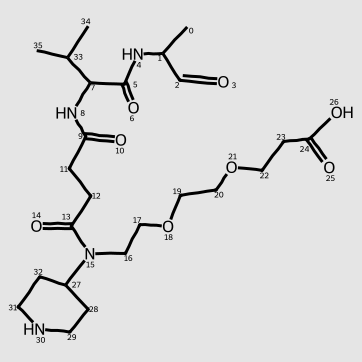 CC(C=O)NC(=O)C(NC(=O)CCC(=O)N(CCOCCOCCC(=O)O)C1CCNCC1)C(C)C